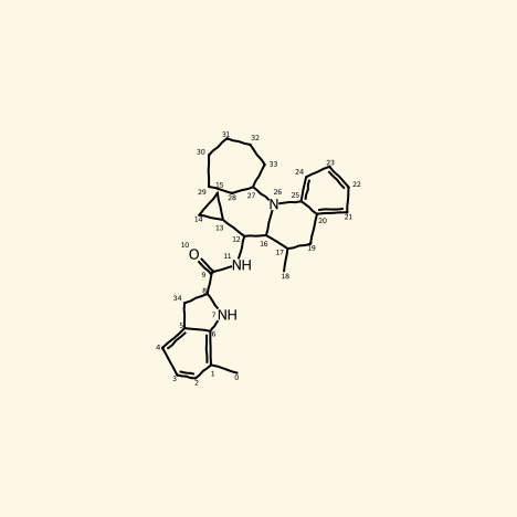 Cc1cccc2c1NC(C(=O)NC(C1CC1)C1C(C)Cc3ccccc3N1C1CCCCCC1)C2